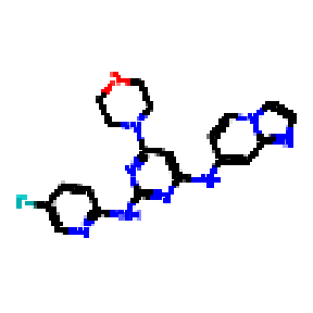 Fc1ccc(Nc2nc(Nc3ccn4ccnc4c3)cc(N3CCOCC3)n2)nc1